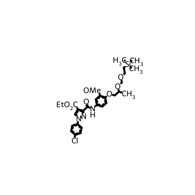 CCOC(=O)c1cn(-c2ccc(Cl)cc2)nc1C(=O)Nc1ccc(OCC(C)OCOCC[Si](C)(C)C)c(OC)c1